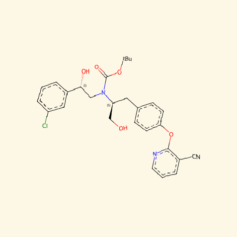 CC(C)(C)OC(=O)N(C[C@@H](O)c1cccc(Cl)c1)[C@H](CO)Cc1ccc(Oc2ncccc2C#N)cc1